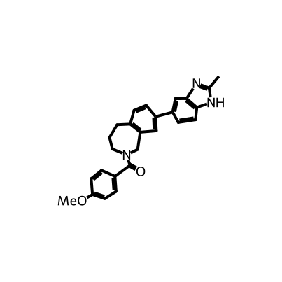 COc1ccc(C(=O)N2CCCc3ccc(-c4ccc5[nH]c(C)nc5c4)cc3C2)cc1